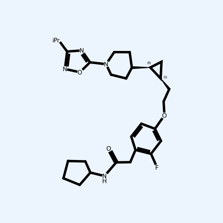 CC(C)c1noc(N2CCC([C@H]3C[C@H]3CCOc3ccc(CC(=O)NC4CCCC4)c(F)c3)CC2)n1